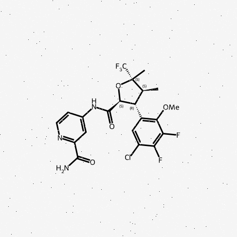 COc1c([C@@H]2[C@@H](C(=O)Nc3ccnc(C(N)=O)c3)O[C@](C)(C(F)(F)F)[C@H]2C)cc(Cl)c(F)c1F